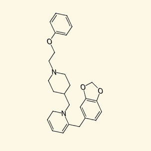 C1=CCN(CC2CCN(CCOc3ccccc3)CC2)C(Cc2ccc3c(c2)OCO3)=C1